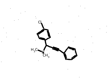 CN(C)C(C#Cc1ccccc1)c1ccc(Cl)cc1